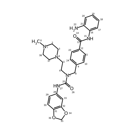 CN1CCN(CCN(Cc2ccc(C(=O)Nc3ccccc3N)cc2)C(=O)Nc2ccc3c(c2)OCO3)CC1